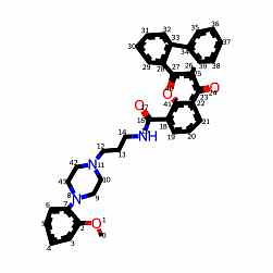 COc1ccccc1N1CCN(CCCNC(=O)c2cccc3c(=O)c(C)c(-c4ccccc4-c4ccccc4)oc23)CC1